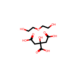 O=C(O)CC(O)(CC(=O)O)C(=O)O.OCCOCCO